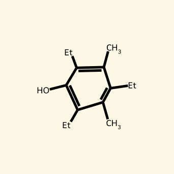 CCc1c(C)c(CC)c(O)c(CC)c1C